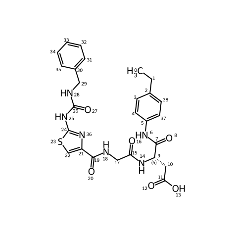 CCc1ccc(NC(=O)[C@H](CC(=O)O)NC(=O)CNC(=O)c2csc(NC(=O)NCc3ccccc3)n2)cc1